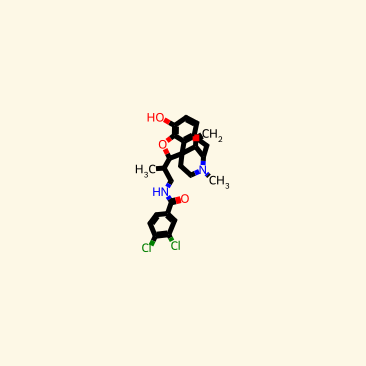 C=CC1C2Cc3ccc(O)c4c3C1(CCN2C)C(C(C)CNC(=O)c1ccc(Cl)c(Cl)c1)O4